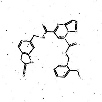 O=C(NCc1ccc2oc(=O)[nH]c2c1)c1cc(C(=O)NCc2ccccc2OC(F)(F)F)n2nccc2n1